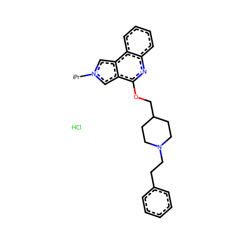 CC(C)n1cc2c(OCC3CCN(CCc4ccccc4)CC3)nc3ccccc3c2c1.Cl